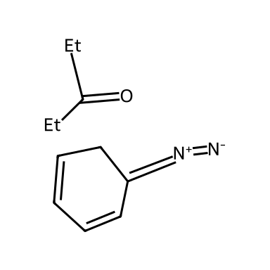 CCC(=O)CC.[N-]=[N+]=C1C=CC=CC1